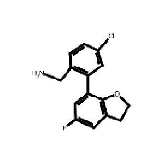 NCc1ccc(Cl)cc1-c1cc(F)cc2c1O[CH]C2